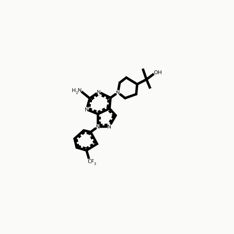 CC(C)(O)C1CCN(c2nc(N)nc3c2cnn3-c2cccc(C(F)(F)F)c2)CC1